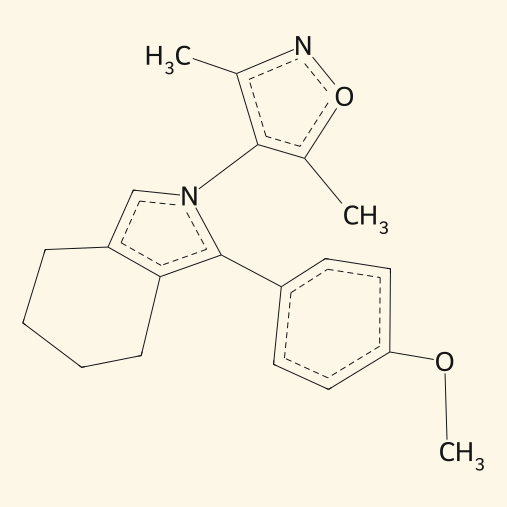 COc1ccc(-c2c3c(cn2-c2c(C)noc2C)CCCC3)cc1